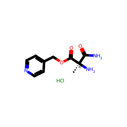 C[C@@](N)(C(N)=O)C(=O)OCc1ccncc1.Cl